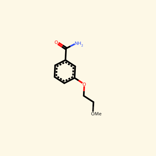 COCCOc1cccc(C(N)=O)c1